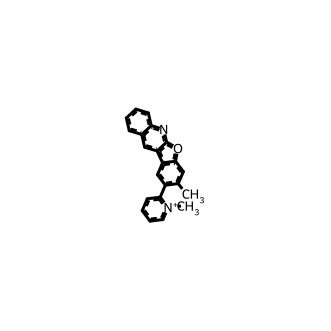 Cc1cc2oc3nc4ccccc4cc3c2cc1-c1cccc[n+]1C